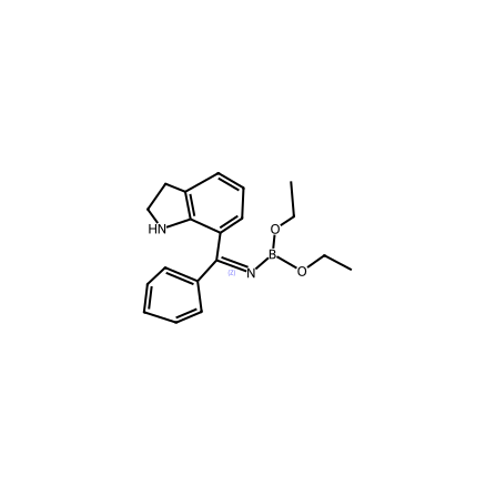 CCOB(/N=C(/c1ccccc1)c1cccc2c1NCC2)OCC